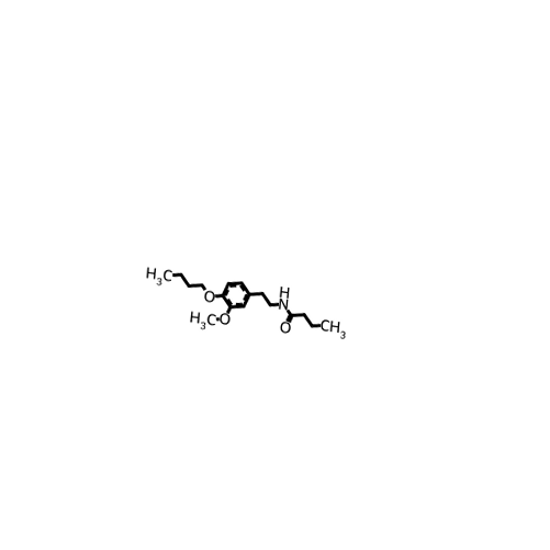 CCCCOc1ccc(CCNC(=O)CCC)cc1OC